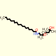 CCCCCCCCCCCCCCCCCC(=O)NCCC(C)(C)OCCC(C)(C)O